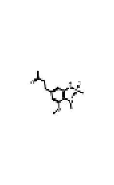 COc1cc(CCC(C)=O)cc(NS(C)(=O)=O)c1OC